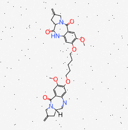 C=C1CC2C(=O)Nc3cc(OCCCCCOc4cc5c(cc4OC)C(=O)N4CC(=C)C[C@H]4C=N5)c(OC)cc3C(=O)N2C1